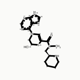 CN(C[C@@H]1CCCCN1)C(=O)C1=CN(c2ncnc3[nH]cnc23)CCS1.Cl